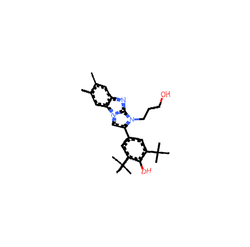 Cc1cc2nc3n(CCCO)c(-c4cc(C(C)(C)C)c(O)c(C(C)(C)C)c4)cn3c2cc1C